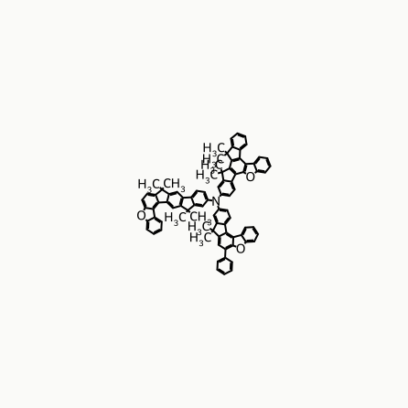 CC1(C)c2cc(N(c3ccc4c(c3)C(C)(C)c3cc(-c5ccccc5)c5oc6ccccc6c5c3-4)c3ccc4c(c3)C(C)(C)c3c5c(c6c(oc7ccccc76)c3-4)-c3ccccc3C5(C)C)ccc2-c2cc3c(cc21)-c1c(ccc2oc4ccccc4c12)C3(C)C